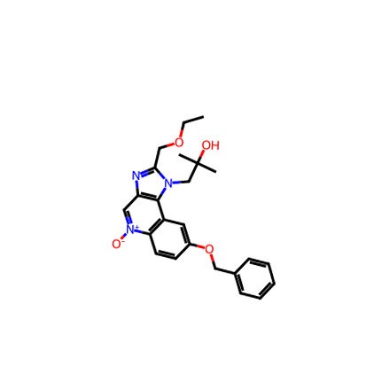 CCOCc1nc2c[n+]([O-])c3ccc(OCc4ccccc4)cc3c2n1CC(C)(C)O